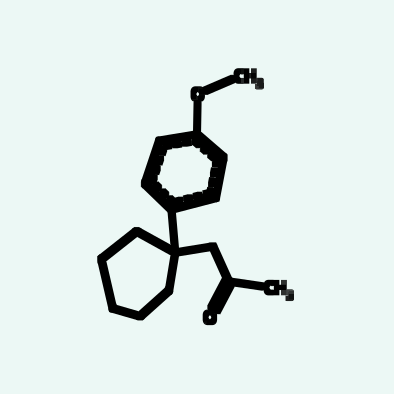 COc1ccc(C2(CC(C)=O)CCCCC2)cc1